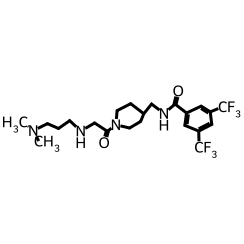 CN(C)CCCNCC(=O)N1CCC(CNC(=O)c2cc(C(F)(F)F)cc(C(F)(F)F)c2)CC1